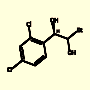 CCC(O)[C@H](O)c1ccc(Cl)cc1Cl